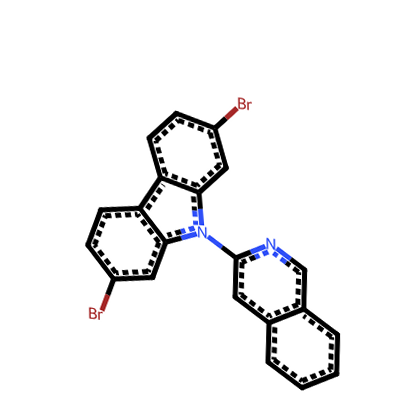 Brc1ccc2c3ccc(Br)cc3n(-c3cc4ccccc4cn3)c2c1